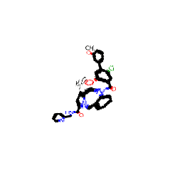 COc1cccc(-c2cc(OC)c(C(=O)N3Cc4ccc(C(=O)NCc5ccccn5)n4Cc4ccccc43)cc2Cl)c1